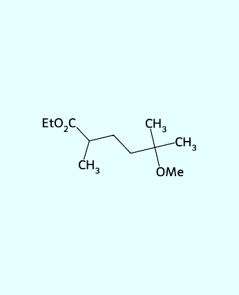 CCOC(=O)C(C)CCC(C)(C)OC